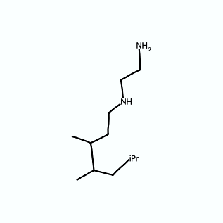 CC(C)CC(C)C(C)CCNCCN